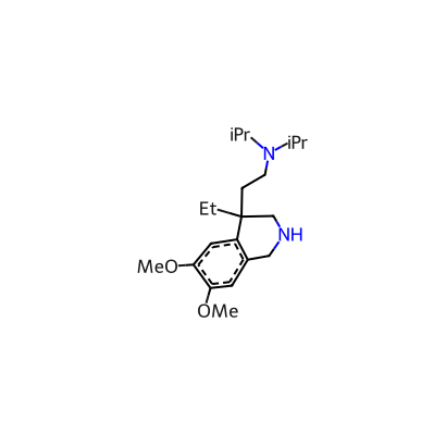 CCC1(CCN(C(C)C)C(C)C)CNCc2cc(OC)c(OC)cc21